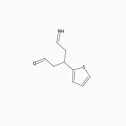 N=CCC(CC=O)c1cccs1